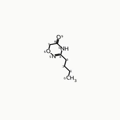 CCCCC1=NOCC(=O)N1